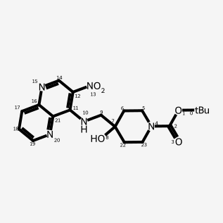 CC(C)(C)OC(=O)N1CCC(O)(CNc2c([N+](=O)[O-])cnc3cccnc23)CC1